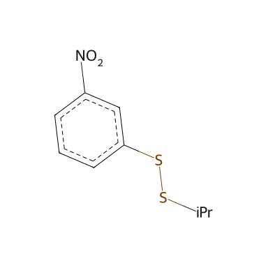 CC(C)SSc1cccc([N+](=O)[O-])c1